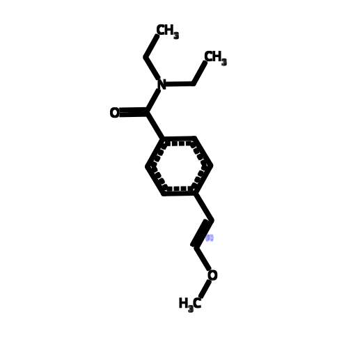 CCN(CC)C(=O)c1ccc(/C=C/OC)cc1